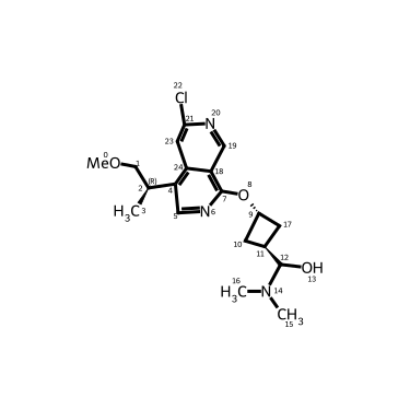 COC[C@H](C)c1cnc(O[C@H]2C[C@H](C(O)N(C)C)C2)c2cnc(Cl)cc12